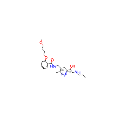 CCCNC[C@H](O)[C@@H](N)C[C@H](CNC(=O)c1ccccc1OCCCCOC)C(C)C